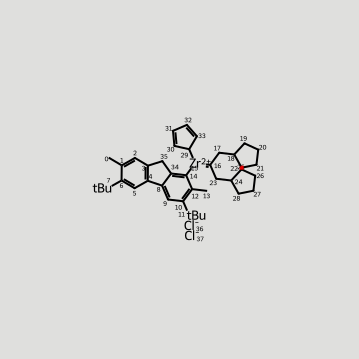 Cc1cc2c(cc1C(C)(C)C)-c1cc(C(C)(C)C)c(C)[c]([Zr+2](=[C](CC3CCCC3)CC3CCCC3)[CH]3C=CC=C3)c1C2.[Cl-].[Cl-]